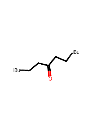 CCC(C)CCC(=O)CCC(C)CC